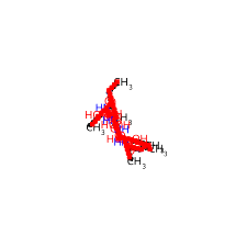 CCCCCC/C=C\CCCC(=O)O[C@H](CCCCCCC)CC(=O)NC(COCC[C@H](O)CCCCCCC)COP(=O)(O)OCCNC(=O)[C@@H](O)[C@H](O)C(=O)NCCOP(=O)(O)OCC(COCC[C@H](O)CCCCCCC)NC(=O)C[C@@H](CCCCCCC)OC(=O)CCC/C=C\CCCCCC